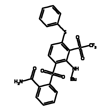 CCC(C)Nc1c(S(=O)(=O)c2ccccc2C(N)=O)ccc(Sc2ccccc2)c1S(=O)(=O)C(F)(F)F